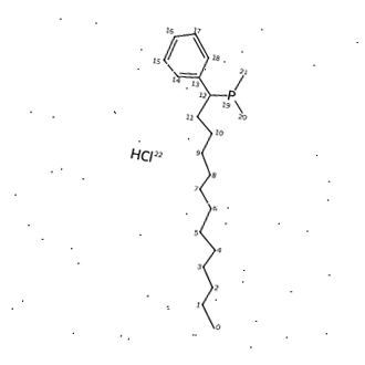 CCCCCCCCCCCCC(c1ccccc1)P(C)C.Cl